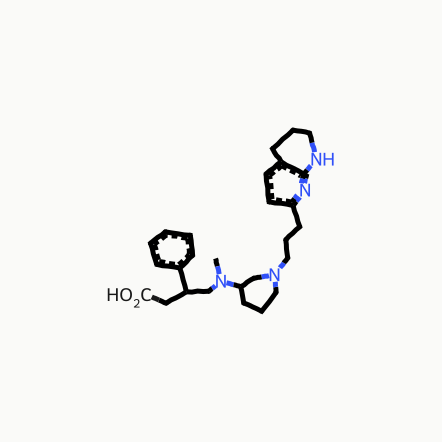 CN(CC(CC(=O)O)c1ccccc1)C1CCCN(CCCc2ccc3c(n2)NCCC3)C1